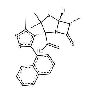 Cc1onc(-c2cccc3ccccc23)c1[C@@]1(C(=O)O)N2C(=S)[C@@H](C)[C@H]2SC1(C)C